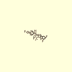 Cc1c(C(NC(=O)Nc2cnc(N3CC(F)C3)nc2)C(F)(F)F)sc2c(F)cc(F)cc12